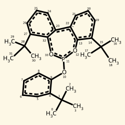 CC(C)(C)c1ccccc1Op1oc2c(C(C)(C)C)cccc2c2cccc(C(C)(C)C)c2o1